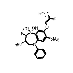 CCCC[C@@H]1CN(c2ccccc2)c2cc(SC)c(O/C=C(\F)C(=O)O)cc2S(O)(O)[C@@H]1F